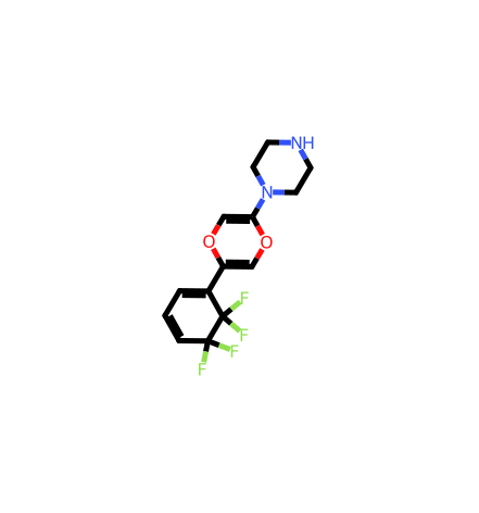 FC1(F)C=CC=C(C2=COC(N3CCNCC3)=CO2)C1(F)F